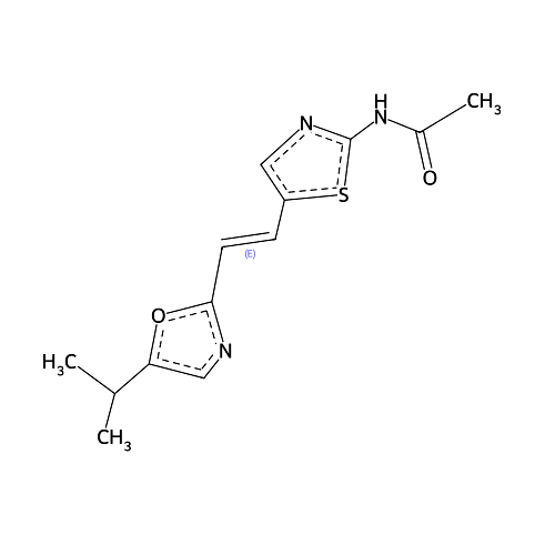 CC(=O)Nc1ncc(/C=C/c2ncc(C(C)C)o2)s1